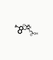 O=C(O)CSc1nnc(Cl)n1Cc1ccc(C2CC2)c2ccccc12